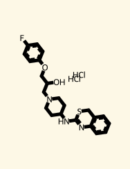 Cl.Cl.OC(COc1ccc(F)cc1)CN1CCC(NC2=Nc3ccccc3CS2)CC1